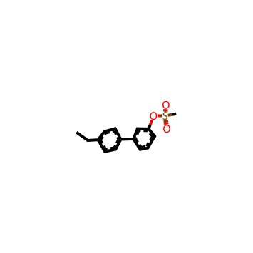 CCc1ccc(-c2cccc(OS(C)(=O)=O)c2)cc1